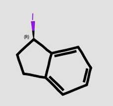 I[C@@H]1CCc2ccccc21